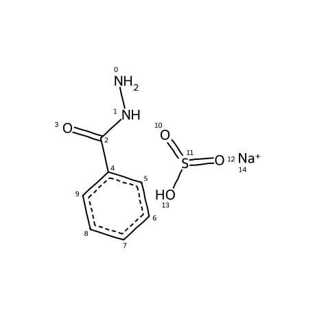 NNC(=O)c1ccccc1.O=[S-](=O)O.[Na+]